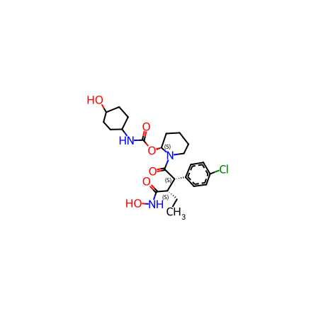 CC[C@H](C(=O)NO)[C@H](C(=O)N1CCCC[C@@H]1OC(=O)NC1CCC(O)CC1)c1ccc(Cl)cc1